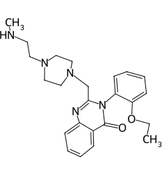 CCOc1ccccc1-n1c(CN2CCN(CCNC)CC2)nc2ccccc2c1=O